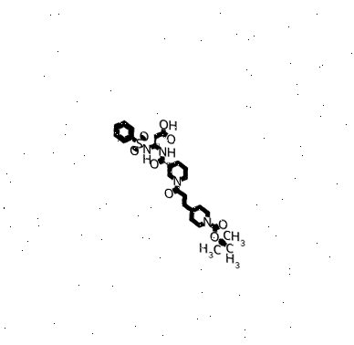 CC(C)(C)OC(=O)N1CCC(CCC(=O)N2CCC[C@@H](C(=O)N[C@H](CC(=O)O)NS(=O)(=O)c3ccccc3)C2)CC1